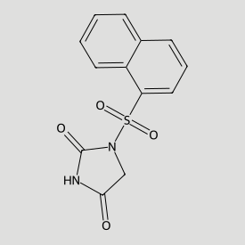 O=C1CN(S(=O)(=O)c2cccc3ccccc23)C(=O)N1